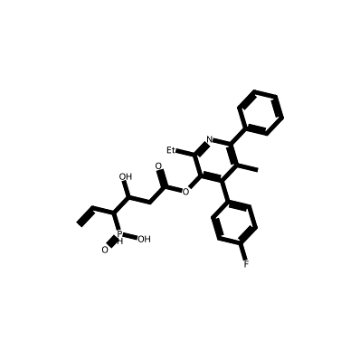 C=CC(C(O)CC(=O)Oc1c(CC)nc(-c2ccccc2)c(C)c1-c1ccc(F)cc1)[PH](=O)O